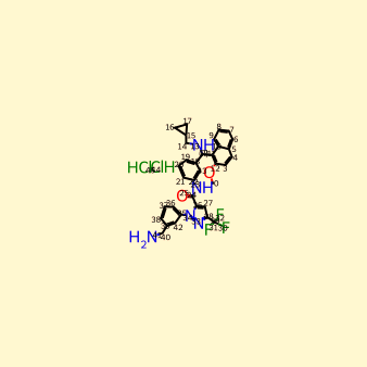 COc1ccc2ccccc2c1[C@H](NCC1CC1)c1cccc(NC(=O)c2cc(C(F)(F)F)nn2-c2cccc(CN)c2)c1.Cl.Cl